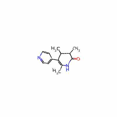 CC1=C(c2ccncc2)C(C)C(C)C(=O)N1